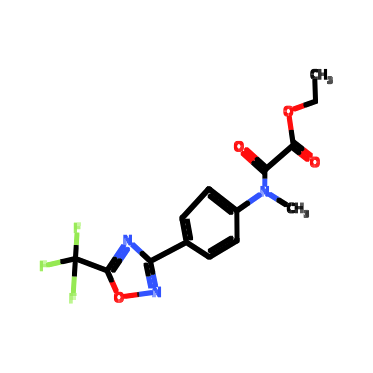 CCOC(=O)C(=O)N(C)c1ccc(-c2noc(C(F)(F)F)n2)cc1